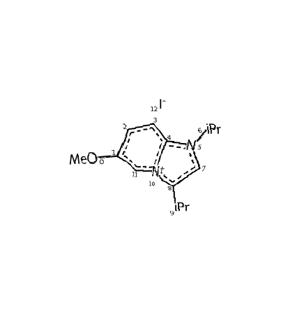 COc1ccc2n(C(C)C)cc(C(C)C)[n+]2c1.[I-]